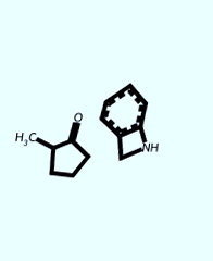 CC1CCCC1=O.c1ccc2c(c1)CN2